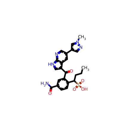 CCCC(c1ccc(C(N)=O)cc1C(=O)c1c[nH]c2ncc(-c3cnn(C)c3)cc12)S(=O)(=O)O